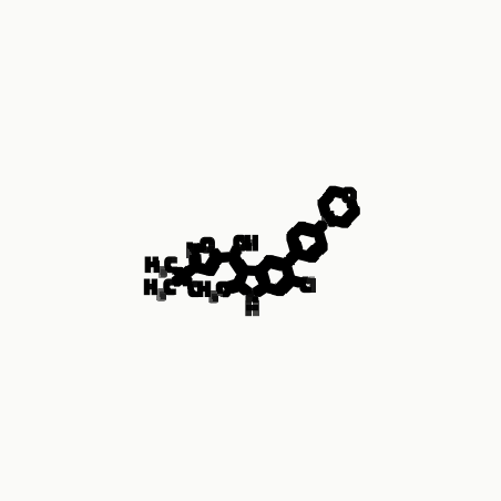 CC(C)(C)c1cc(C(O)=C2C(=O)Nc3cc(Cl)c(-c4ccc(N5CCOCC5)cc4)cc32)on1